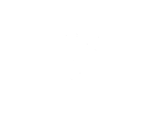 Cc1cn(-c2ccc(Nc3nc(Cl)c4c(n3)N(c3ccc(F)cc3)CC4)cc2F)cn1